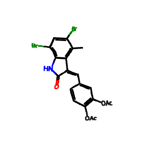 CC(=O)Oc1ccc(C=C2C(=O)Nc3c(Br)cc(Br)c(C)c32)cc1OC(C)=O